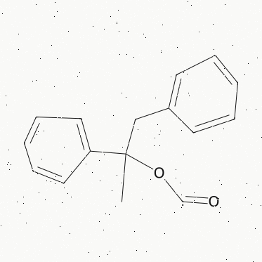 CC(Cc1ccccc1)(O[C]=O)c1ccccc1